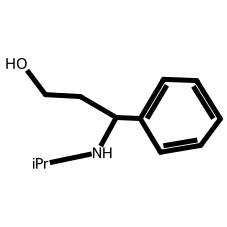 CC(C)NC(CCO)c1ccccc1